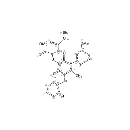 COC(=O)[C@H](Cn1c(=O)c(-c2cccc(OC)c2)c(C)n(Cc2c(F)cccc2F)c1=O)NC(=O)OC(C)(C)C